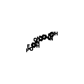 O=C(Nc1cc2cc(-c3cnc4n3CCNC4)ccc2cn1)c1ccc(OC(F)F)cc1